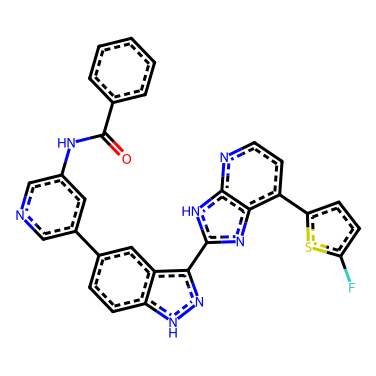 O=C(Nc1cncc(-c2ccc3[nH]nc(-c4nc5c(-c6ccc(F)s6)ccnc5[nH]4)c3c2)c1)c1ccccc1